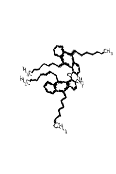 CCCCCCCc1c2ccccc2c(CCCCCCC)c2c(Oc3c(C)ccc4c(CCCCCCC)c5ccccc5c(CCCCCCC)c34)c(C)ccc12